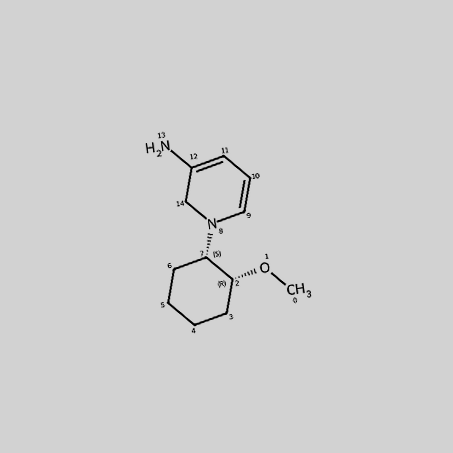 CO[C@@H]1CCCC[C@@H]1N1C=CC=C(N)C1